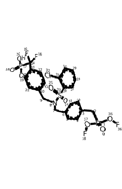 O=P(Cc1ccc(CN(Cc2ccc(C(F)(F)P(=O)(O)O)cc2)S(=O)(=O)c2ccccc2Cl)cc1)(OF)OF